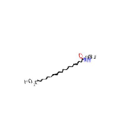 CCCCNC(=O)CCCCCCCCCCCCCCCCCCC(=O)O